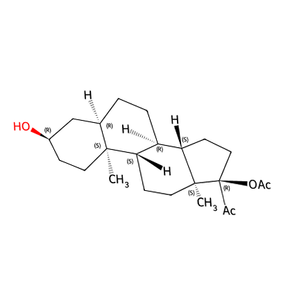 CC(=O)O[C@]1(C(C)=O)CC[C@H]2[C@@H]3CC[C@@H]4C[C@H](O)CC[C@]4(C)[C@H]3CC[C@@]21C